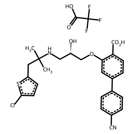 CC(C)(Cc1ccc(Cl)s1)NC[C@H](O)COc1cc(-c2ccc(C#N)cc2)ccc1C(=O)O.O=C(O)C(F)(F)F